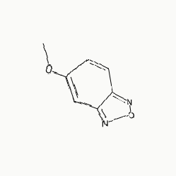 COc1ccc2nonc2c1